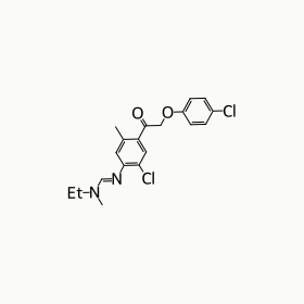 CCN(C)C=Nc1cc(C)c(C(=O)COc2ccc(Cl)cc2)cc1Cl